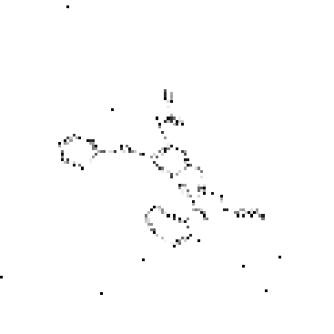 CCNCc1cc(CN(CCOC)S(=O)(=O)c2ccccc2)ccc1OCc1ccccc1